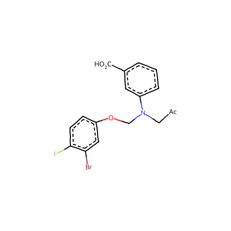 CC(=O)CN(COc1ccc(F)c(Br)c1)c1cccc(C(=O)O)c1